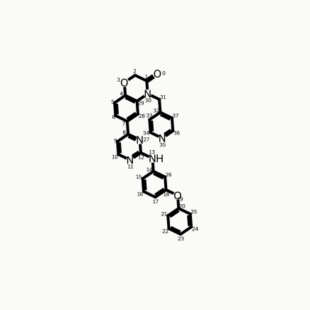 O=C1COc2ccc(-c3ccnc(Nc4cccc(Oc5ccccc5)c4)n3)cc2N1Cc1ccncc1